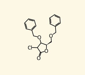 O=C1O[C@H](COCc2ccccc2)C(OCc2ccccc2)C1Cl